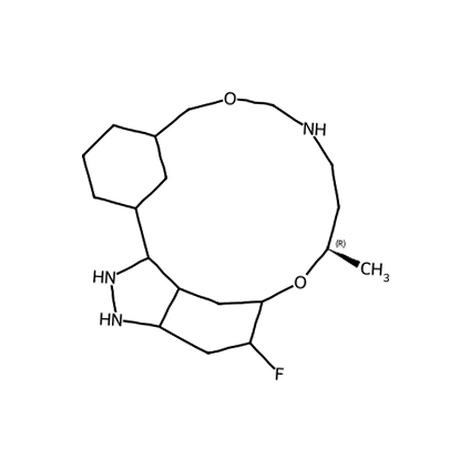 C[C@@H]1CCNCOCC2CCCC(C2)C2NNC3CC(F)C(CC32)O1